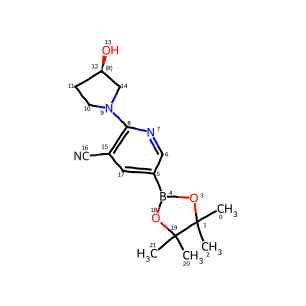 CC1(C)OB(c2cnc(N3CC[C@@H](O)C3)c(C#N)c2)OC1(C)C